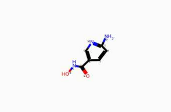 Nc1ccc(C(=O)NO)cn1